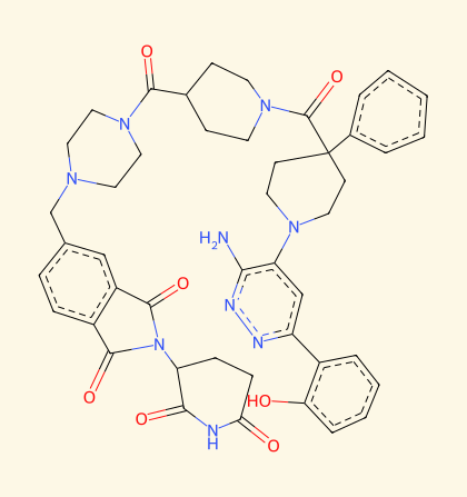 Nc1nnc(-c2ccccc2O)cc1N1CCC(C(=O)N2CCC(C(=O)N3CCN(Cc4ccc5c(c4)C(=O)N(C4CCC(=O)NC4=O)C5=O)CC3)CC2)(c2ccccc2)CC1